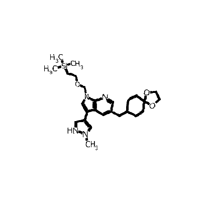 CN1C=C(c2cn(COCC[Si](C)(C)C)c3ncc(CC4CCC5(CC4)OCCO5)cc23)CN1